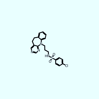 O=S(=O)(NCCCN1c2ccccc2CCc2cncnc21)c1ccc(Cl)cc1